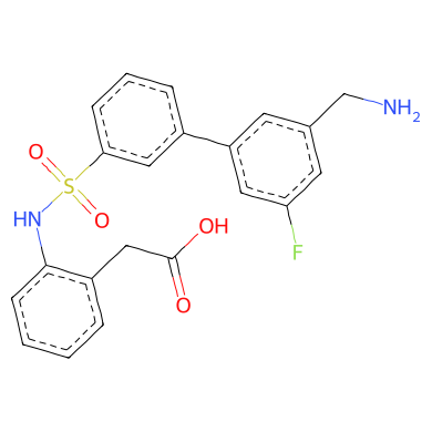 NCc1cc(F)cc(-c2cccc(S(=O)(=O)Nc3ccccc3CC(=O)O)c2)c1